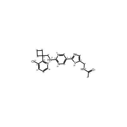 CC(=O)NCc1cnc(-c2cnc(NCC3(c4ncccc4Cl)CCC3)nc2)s1